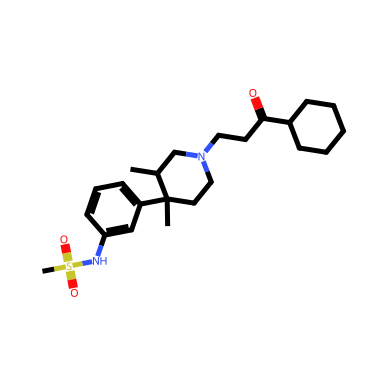 CC1CN(CCC(=O)C2CCCCC2)CCC1(C)c1cccc(NS(C)(=O)=O)c1